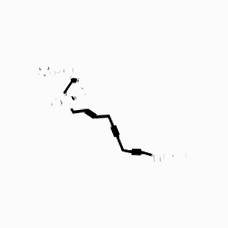 CCCCCCCCC#CCC#CCC#CCS(=O)(=O)CC(=O)OC